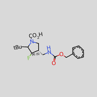 CC(C)(C)C1[C@H](F)[C@@H](CNC(=O)OCc2ccccc2)CN1C(=O)O